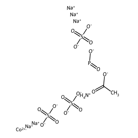 CC(=O)[O-].O=P[O-].O=S(=O)([O-])[O-].O=S(=O)([O-])[O-].O=S(=O)([O-])[O-].[Co+2].[NH4+].[Na+].[Na+].[Na+].[Na+].[Na+]